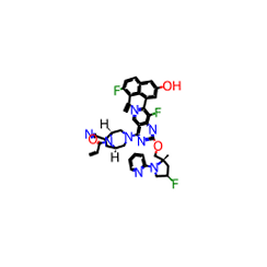 C#Cc1c(F)ccc2cc(O)cc(-c3ncc4c(N5C[C@H]6CC(C#N)[C@@H](C5)N6C(=O)C=C)nc(OC[C@]5(C)C[C@@H](F)CN5c5ccccn5)nc4c3F)c12